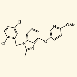 COc1ccc(Oc2cccc3c2nc(C)n3Cc2cc(Cl)ccc2Cl)cn1